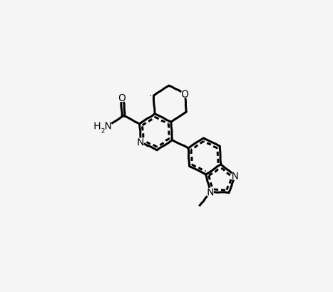 Cn1cnc2ccc(-c3cnc(C(N)=O)c4c3COC[CH]4)cc21